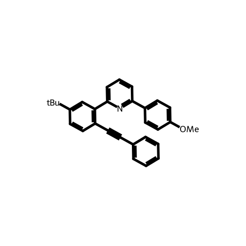 COc1ccc(-c2cccc(-c3cc(C(C)(C)C)ccc3C#Cc3ccccc3)n2)cc1